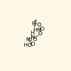 O=C(/C=C/c1cccc(NC(=O)c2cccc(C(F)(F)F)c2)c1)Nc1cncc(C(=O)O)c1